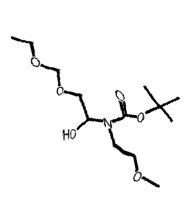 CCOCOCC(O)N(CCOC)C(=O)OC(C)(C)C